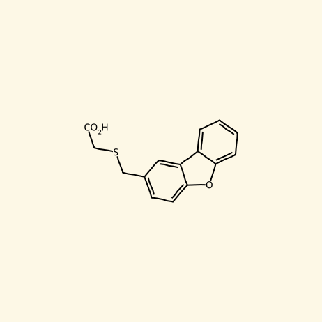 O=C(O)CSCc1ccc2oc3ccccc3c2c1